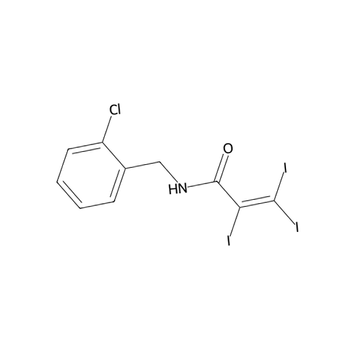 O=C(NCc1ccccc1Cl)C(I)=C(I)I